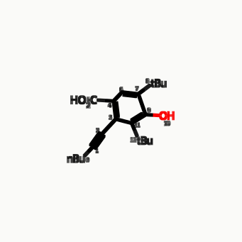 CCCCC#Cc1c(C(=O)O)cc(C(C)(C)C)c(O)c1C(C)(C)C